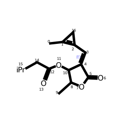 CC1=C(/C=C2/C(=O)OC(C)C2OC(=O)CC(C)C)C1